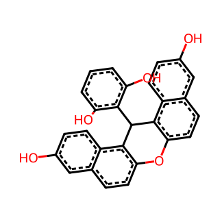 Oc1ccc2c3c(ccc2c1)Oc1ccc2cc(O)ccc2c1C3c1c(O)cccc1O